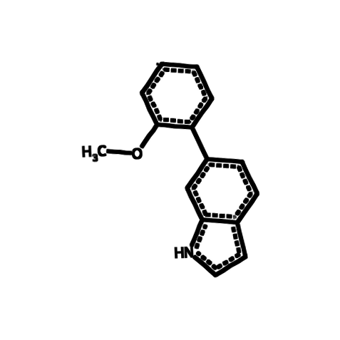 COc1c[c]ccc1-c1ccc2cc[nH]c2c1